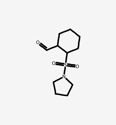 O=CC1CCCCC1S(=O)(=O)N1CCCC1